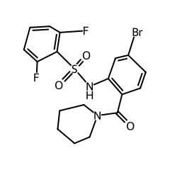 O=C(c1ccc(Br)cc1NS(=O)(=O)c1c(F)cccc1F)N1CCCCC1